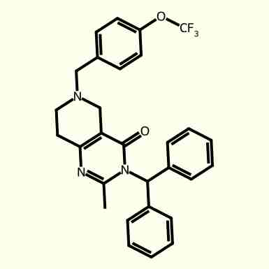 Cc1nc2c(c(=O)n1C(c1ccccc1)c1ccccc1)CN(Cc1ccc(OC(F)(F)F)cc1)CC2